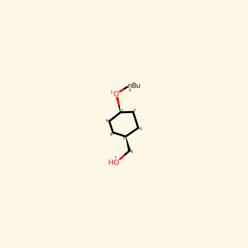 CCCCO[C@H]1CC[C@@H](CO)CC1